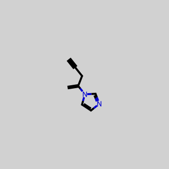 C#CCC(=C)n1ccnc1